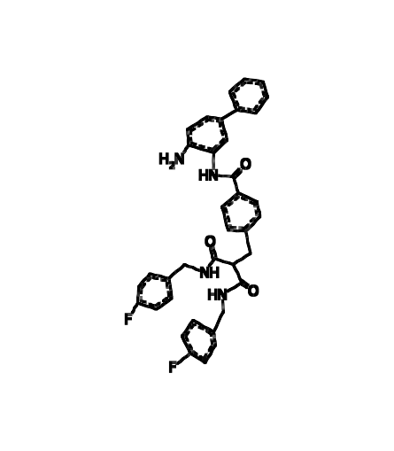 Nc1ccc(-c2ccccc2)cc1NC(=O)c1ccc(CC(C(=O)NCc2ccc(F)cc2)C(=O)NCc2ccc(F)cc2)cc1